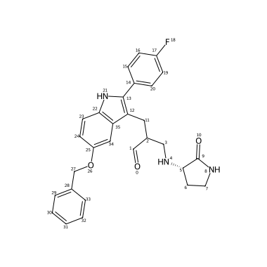 O=CC(CN[C@H]1CCNC1=O)Cc1c(-c2ccc(F)cc2)[nH]c2ccc(OCc3ccccc3)cc12